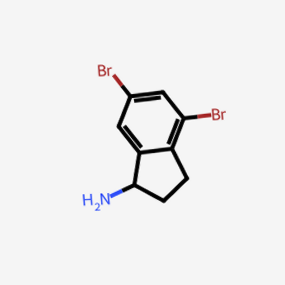 NC1CCc2c(Br)cc(Br)cc21